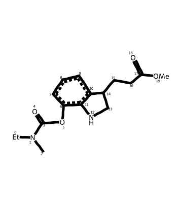 CCN(C)C(=O)Oc1cccc2c1NCC2CCC(=O)OC